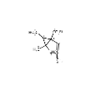 C=C=CC1(C(=O)OCC)C(C(=O)O)C1(C)C